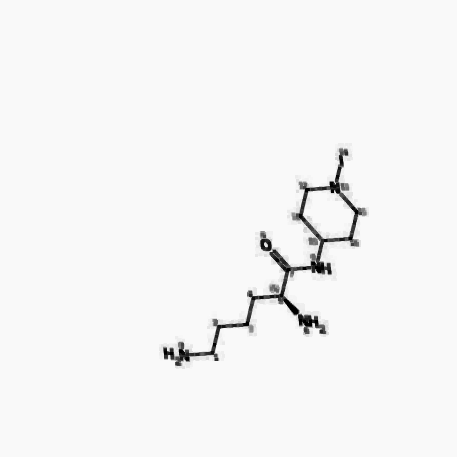 NCCCC[C@H](N)C(=O)NC1CCN(I)CC1